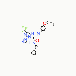 COc1ccc(CN2CCN(c3cc(C(F)(F)F)nc(-n4ccnc4)n3)C(CC(=O)NC3CC3c3ccccc3)C2)cc1